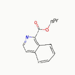 CCCOC(=O)c1nccc2[c]cccc12